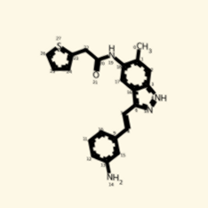 Cc1cc2[nH]nc(C=Cc3cccc(N)c3)c2cc1NC(=O)Cc1cccs1